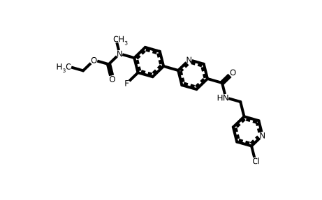 CCOC(=O)N(C)c1ccc(-c2ccc(C(=O)NCc3ccc(Cl)nc3)cn2)cc1F